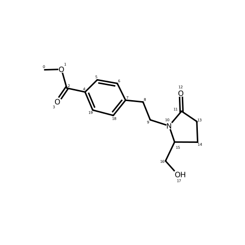 COC(=O)c1ccc(CCN2C(=O)CCC2CO)cc1